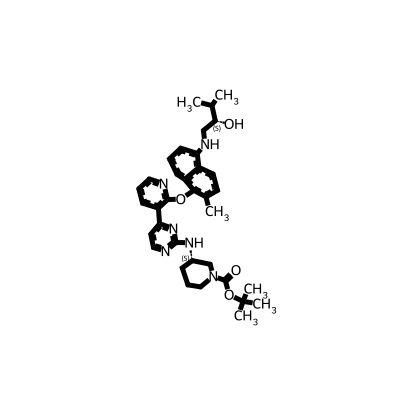 Cc1ccc2c(NC[C@@H](O)C(C)C)cccc2c1Oc1ncccc1-c1ccnc(N[C@H]2CCCN(C(=O)OC(C)(C)C)C2)n1